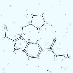 COC(=O)c1ccc2nc(CCl)n(CC3CCCO3)c2c1